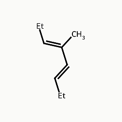 CCC=CC(C)=CCC